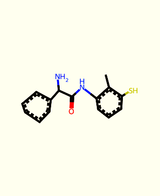 Cc1c(S)cccc1NC(=O)C(N)c1ccccc1